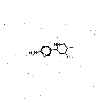 Nc1ccc(C2C[C@@H](O)[C@H](F)CN2)cn1